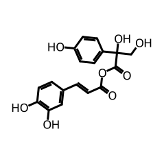 O=C(C=Cc1ccc(O)c(O)c1)OC(=O)C(O)(CO)c1ccc(O)cc1